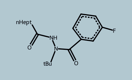 CCCCCCCC(=O)NN(C(=O)c1cccc(F)c1)C(C)(C)C